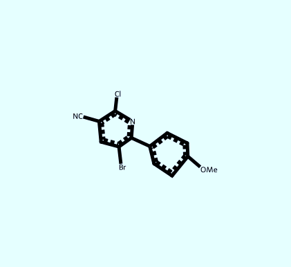 COc1ccc(-c2nc(Cl)c(C#N)cc2Br)cc1